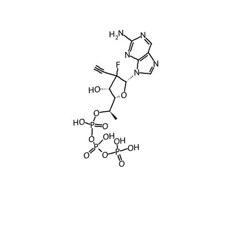 C#CC1(F)[C@@H](O)[C@@H]([C@@H](C)OP(=O)(O)OP(=O)(O)OP(=O)(O)O)O[C@H]1n1cnc2cnc(N)nc21